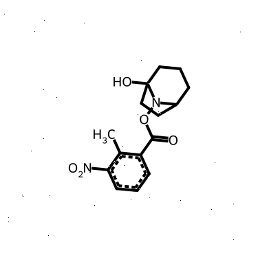 Cc1c(C(=O)ON2C3CCCC2(O)CC3)cccc1[N+](=O)[O-]